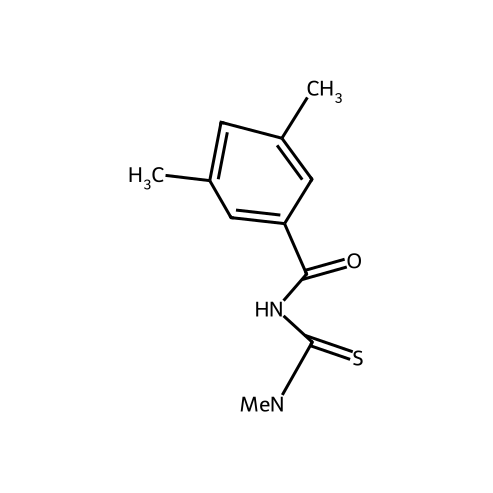 CNC(=S)NC(=O)c1cc(C)cc(C)c1